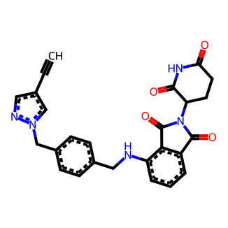 C#Cc1cnn(Cc2ccc(CNc3cccc4c3C(=O)N(C3CCC(=O)NC3=O)C4=O)cc2)c1